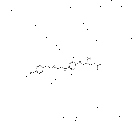 CC(C)NCC(O)COc1ccc(OCCOCCc2ccc(Cl)cc2)cc1